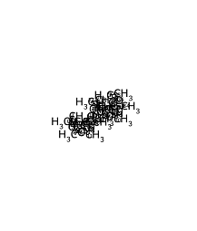 C[Si](C)(C)O[Si](C)(C)O[Si](C)(C)O[Si](C)(C)O[Si](C)(O[Si](C)(C)C)O[Si](C)(C)O[Si](C)(C)O[Si](C)(C)O[Si](C)(C)C